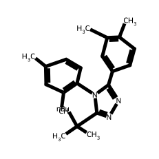 CCCCC(C)(C)c1nnc(-c2ccc(C)c(C)c2)n1-c1ccc(C)cc1C